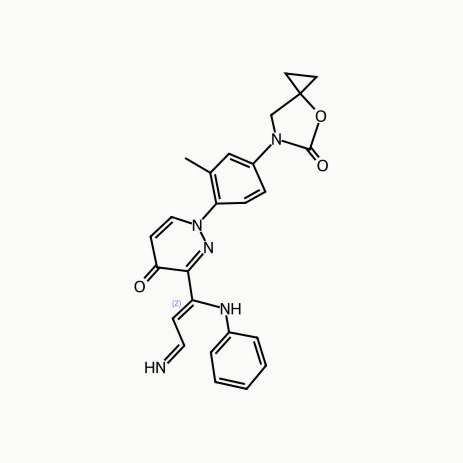 Cc1cc(N2CC3(CC3)OC2=O)ccc1-n1ccc(=O)c(/C(=C/C=N)Nc2ccccc2)n1